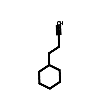 C#CCCC1CCCCC1